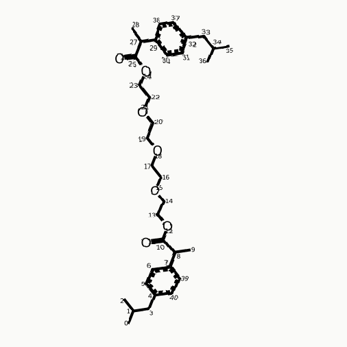 CC(C)Cc1ccc(C(C)C(=O)OCCOCCOCCOCCOC(=O)C(C)c2ccc(CC(C)C)cc2)cc1